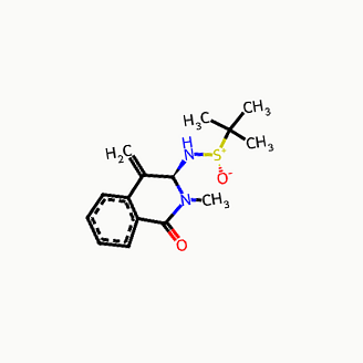 C=C1c2ccccc2C(=O)N(C)[C@@H]1N[S@@+]([O-])C(C)(C)C